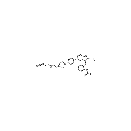 Cc1nc2ccc(-c3ccc(N4CCN(CCOCCN=[N+]=[N-])CC4)nc3)cn2c1Cc1ccccc1OC(F)F